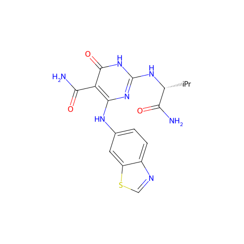 CC(C)[C@@H](Nc1nc(Nc2ccc3ncsc3c2)c(C(N)=O)c(=O)[nH]1)C(N)=O